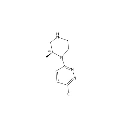 C[C@H]1CNCCN1c1ccc(Cl)nn1